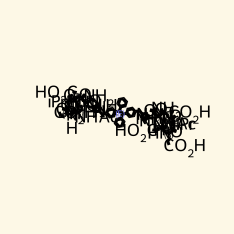 CC(=O)N[C@@H](CC(=O)O)C(=O)N[C@@H](CCC(=O)O)C(=O)N[C@H](C(=O)N[C@@H](CC(=O)O)C(=O)N[C@@H](Cc1cn(Cc2ccc(/C(=C(\c3ccccc3)c3ccc(Cn4cc(C[C@@H](NC(=O)[C@@H](CC(=O)O)NC(=O)C(NC(=O)[C@@H](CCC(=O)O)NC(=O)[C@@H](CC(=O)O)NC(C)=O)C(C)C)C(N)=O)nn4)cc3)c3ccccc3)cc2)nn1)C(N)=O)C(C)C